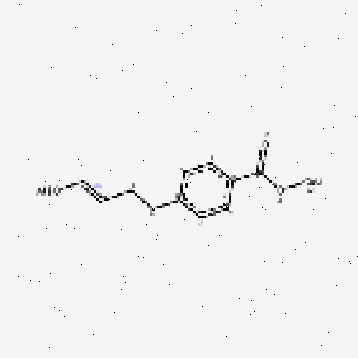 CO/C=C/CCc1ccc(C(=O)OC(C)(C)C)cc1